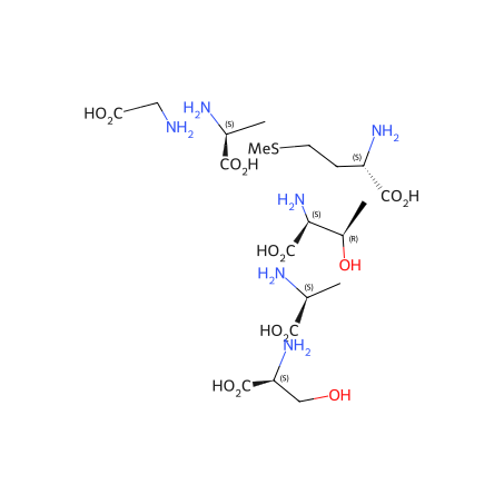 CSCC[C@H](N)C(=O)O.C[C@@H](O)[C@H](N)C(=O)O.C[C@H](N)C(=O)O.C[C@H](N)C(=O)O.NCC(=O)O.N[C@@H](CO)C(=O)O